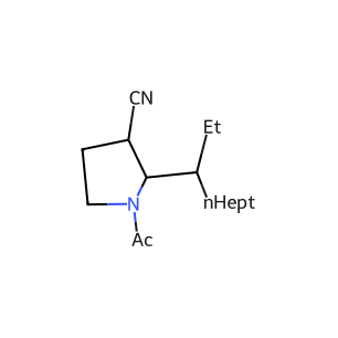 CCCCCCCC(CC)C1C(C#N)CCN1C(C)=O